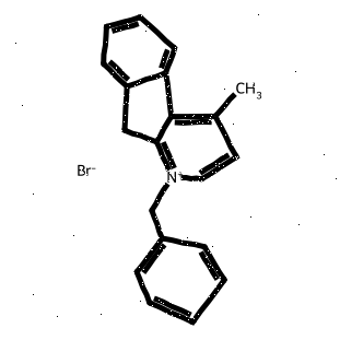 Cc1cc[n+](Cc2ccccc2)c2c1-c1ccccc1C2.[Br-]